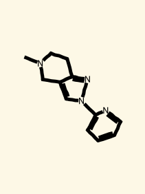 CN1CCc2nn(-c3ccccn3)cc2C1